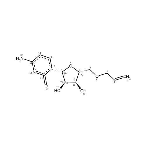 C=CCOC[C@H]1O[C@@H](n2ccc(N)nc2=O)[C@H](O)[C@@H]1O